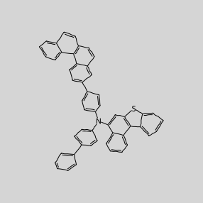 c1ccc(-c2ccc(N(c3ccc(-c4ccc5c(ccc6ccc7ccccc7c65)c4)cc3)c3cc4sc5ccccc5c4c4ccccc34)cc2)cc1